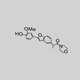 COc1cc(-c2cc3cc(C(C)C(=O)N4CCOCC4)ccc3o2)ccc1O